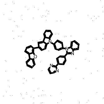 c1cnc(-c2ccc(-c3nc4ccccc4n3-c3ccc(-n4c5ccccc5c5cc(-c6cccc7c6oc6ccccc67)ccc54)cc3)cc2)nc1